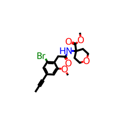 CC#Cc1cc(Br)c(CC(=O)NC2(C(=O)OC)CCOCC2)c(OC)c1